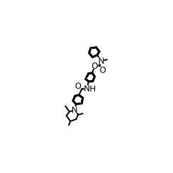 CC1CC(C)N(c2ccc(C(=O)Nc3ccc(OC(=O)N(C)c4ccccc4)cc3)cc2)C(C)C1